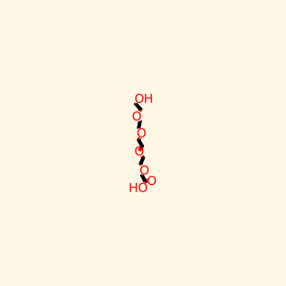 O=C(O)COCCOCCOCCOCCO